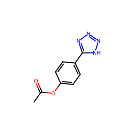 CC(=O)Oc1ccc(-c2nnn[nH]2)cc1